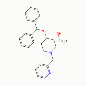 O=C(O)O.c1ccc(C(OC2CCN(Cc3ccccn3)CC2)c2ccccc2)cc1